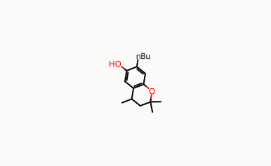 CCCCc1cc2c(cc1O)C(C)CC(C)(C)O2